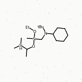 CCO[Si](C)(CN(C1CCCCC1)C(C)(C)C)OC(C)[SiH](C)C